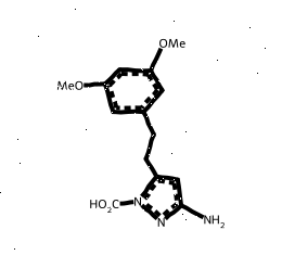 COc1cc(CCc2cc(N)nn2C(=O)O)cc(OC)c1